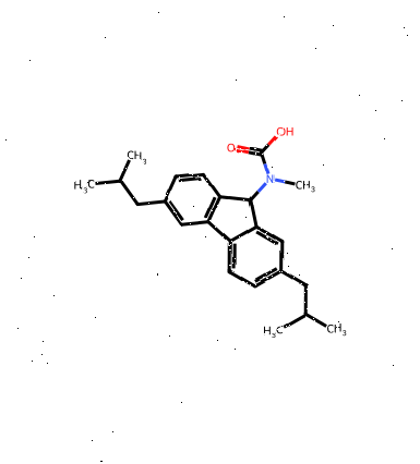 CC(C)Cc1ccc2c(c1)-c1ccc(CC(C)C)cc1C2N(C)C(=O)O